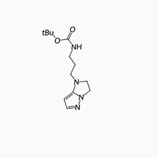 CC(C)(C)OC(=O)NCCCN1CCn2nccc21